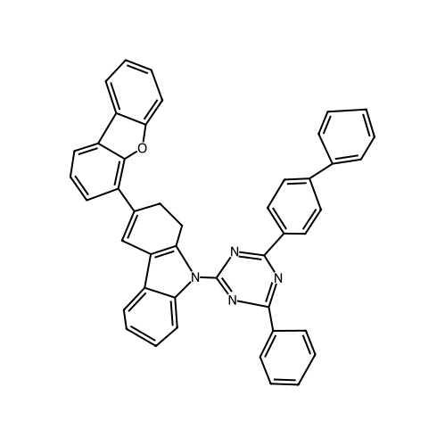 C1=C(c2cccc3c2oc2ccccc23)CCc2c1c1ccccc1n2-c1nc(-c2ccccc2)nc(-c2ccc(-c3ccccc3)cc2)n1